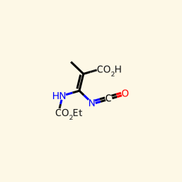 CCOC(=O)NC(N=C=O)=C(C)C(=O)O